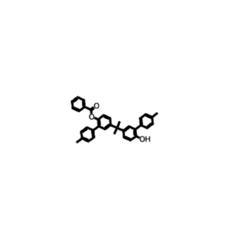 Cc1ccc(-c2cc(C(C)(C)c3ccc(OC(=O)c4ccccc4)c(-c4ccc(C)cc4)c3)ccc2O)cc1